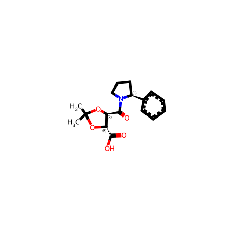 CC1(C)O[C@@H](C(=O)O)[C@H](C(=O)N2CCC[C@H]2c2ccccc2)O1